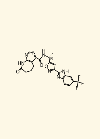 C[C@@H](NC(=O)c1ncnc2c1CCCC(=O)N2)c1cc(-c2nc3ccc(C(F)(F)F)cc3[nH]2)no1